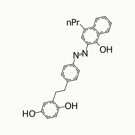 CCCc1cc(N=Nc2ccc(CCc3cc(O)ccc3O)cc2)c(O)c2ccccc12